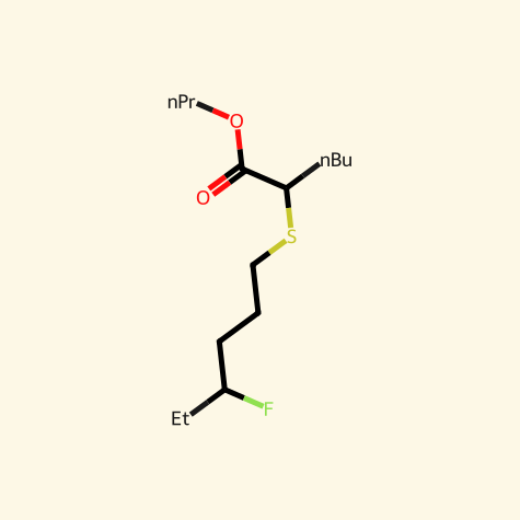 CCCCC(SCCCC(F)CC)C(=O)OCCC